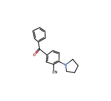 N#Cc1cc(C(=O)c2ccccc2)ccc1N1CCCC1